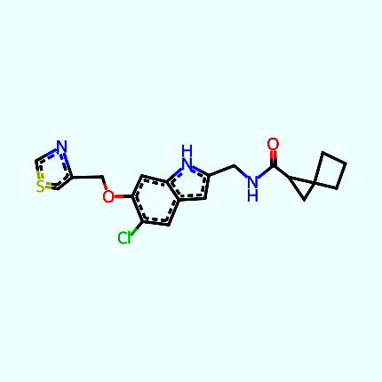 O=C(NCc1cc2cc(Cl)c(OCc3cscn3)cc2[nH]1)C1CC12CCC2